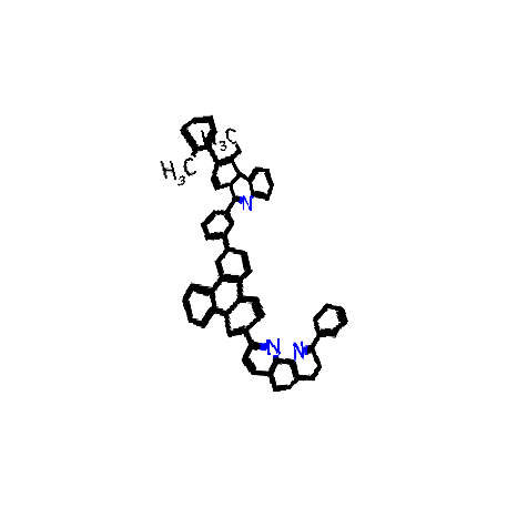 CCC1=C(c2ccccc2C)C=CC2C(c3cccc(C4C=CC5=C(C4)c4ccccc4C4C=C(C6=NC7C8=C(C=CC7C=C6)CCC(c6ccccc6)=N8)C=CC54)c3)=Nc3ccccc3C12